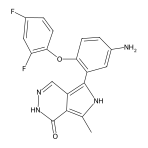 Cc1[nH]c(-c2cc(N)ccc2Oc2ccc(F)cc2F)c2cn[nH]c(=O)c12